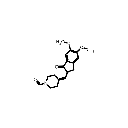 COc1cc2c(cc1OC)C(=O)C(C=C1CCN(C=O)CC1)C2